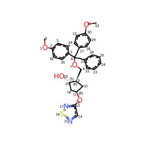 COc1ccc(C(OC[C@H]2C[C@@H](Oc3cnsn3)C[C@@H]2O)(c2ccccc2)c2ccc(OC)cc2)cc1